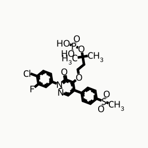 CC(C)(CCOc1c(-c2ccc(S(C)(=O)=O)cc2)cnn(-c2ccc(Cl)c(F)c2)c1=O)OP(=O)(O)O